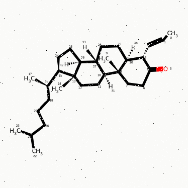 CC=C[C@@H]1C(=O)CC[C@]2(C)[C@H]3CC[C@]4(C)[C@@H]([C@H](C)CCCC(C)C)CC[C@H]4[C@@H]3CC[C@@H]12